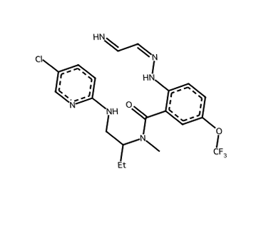 CCC(CNc1ccc(Cl)cn1)N(C)C(=O)c1cc(OC(F)(F)F)ccc1N/N=C\C=N